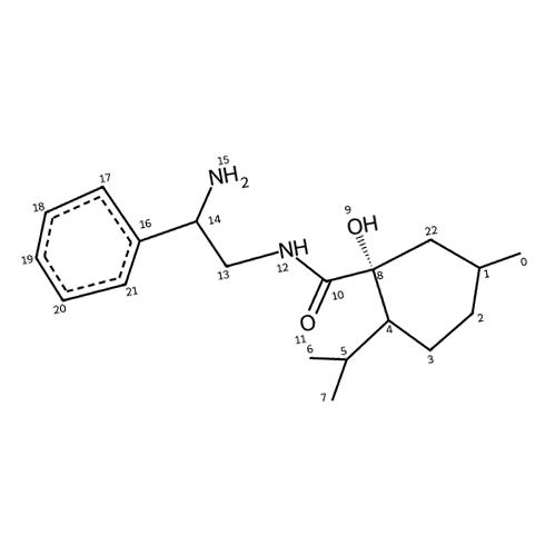 CC1CCC(C(C)C)[C@@](O)(C(=O)NCC(N)c2ccccc2)C1